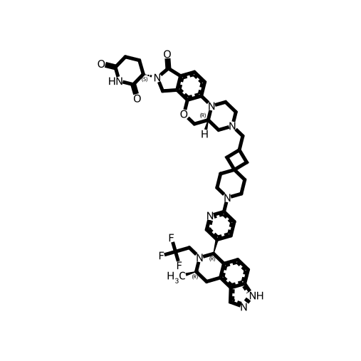 C[C@@H]1Cc2c(ccc3[nH]ncc23)[C@H](c2ccc(N3CCC4(CC3)CC(CN3CCN5c6ccc7c(c6OC[C@H]5C3)CN([C@H]3CCC(=O)NC3=O)C7=O)C4)nc2)N1CC(F)(F)F